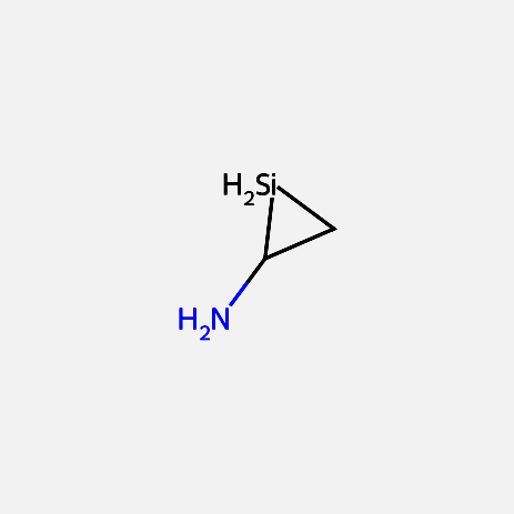 NC1C[SiH2]1